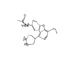 COc1ccc(C2CNC(=O)C2)c2c1oc1ccc(NC(C)=O)cc12